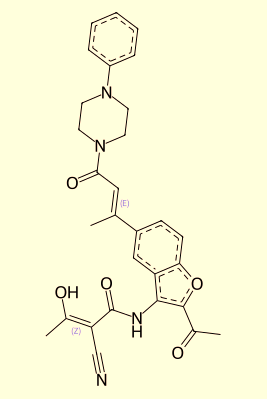 CC(=O)c1oc2ccc(/C(C)=C/C(=O)N3CCN(c4ccccc4)CC3)cc2c1NC(=O)/C(C#N)=C(/C)O